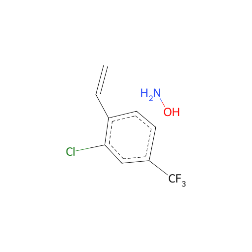 C=Cc1ccc(C(F)(F)F)cc1Cl.NO